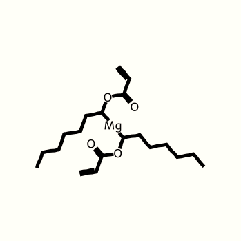 C=CC(=O)O[CH](CCCCCC)[Mg][CH](CCCCCC)OC(=O)C=C